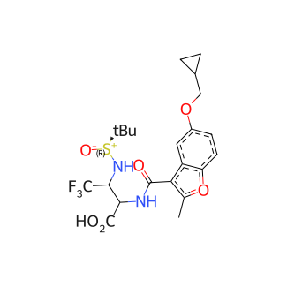 Cc1oc2ccc(OCC3CC3)cc2c1C(=O)NC(C(=O)O)C(N[S@@+]([O-])C(C)(C)C)C(F)(F)F